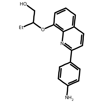 CCC(CO)Oc1cccc2ccc(-c3ccc(N)cc3)nc12